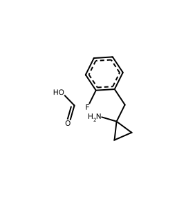 NC1(Cc2ccccc2F)CC1.O=CO